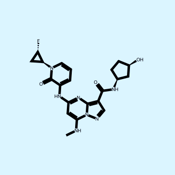 CNc1cc(Nc2cccn([C@H]3C[C@@H]3F)c2=O)nc2c(C(=O)N[C@H]3CC[C@@H](O)C3)cnn12